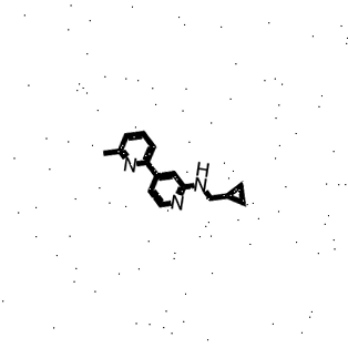 Cc1cccc(-c2ccnc(NCC3CC3)c2)n1